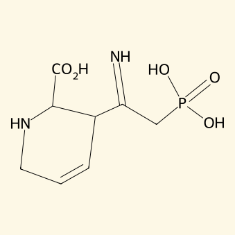 N=C(CP(=O)(O)O)C1C=CCNC1C(=O)O